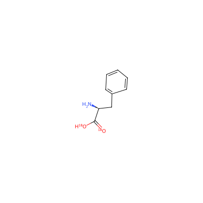 N[C@@H](Cc1ccccc1)C(=[18O])[18OH]